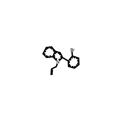 C=CCn1c(-c2ccccc2Br)cc2ccccc21